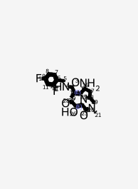 C/C(C(=O)NCc1ccc(F)cc1F)=C1/C(N)CC2CN(C)C(=O)/C(=C(\O)C=O)N12